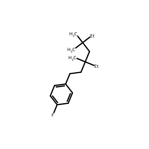 CCC(C)(C)CC(C)(CC)CCc1ccc(F)cc1